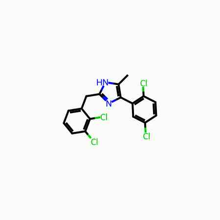 Cc1[nH]c(Cc2cccc(Cl)c2Cl)nc1-c1cc(Cl)ccc1Cl